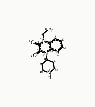 CC(C)Cn1c(=O)c(=O)n(C2CCNCC2)c2ncccc21